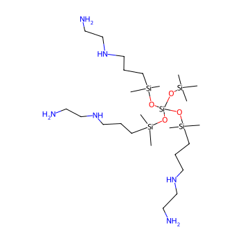 C[Si](C)(C)O[Si](O[Si](C)(C)CCCNCCN)(O[Si](C)(C)CCCNCCN)O[Si](C)(C)CCCNCCN